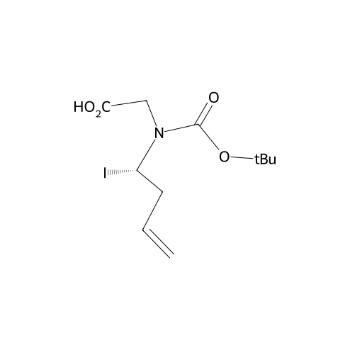 C=CC[C@H](I)N(CC(=O)O)C(=O)OC(C)(C)C